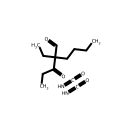 CCCCC(C=O)(CC)C(=O)CC.N=C=O.N=C=O